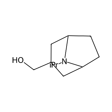 CC(C)N1C2CCC1CC(CO)C2